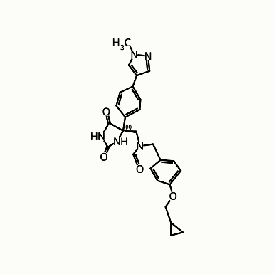 Cn1cc(-c2ccc([C@]3(CN(C=O)Cc4ccc(OCC5CC5)cc4)NC(=O)NC3=O)cc2)cn1